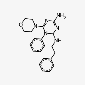 NC1=NC(NCCc2ccccc2)N(c2ccccc2)C(N2CCOCC2)=N1